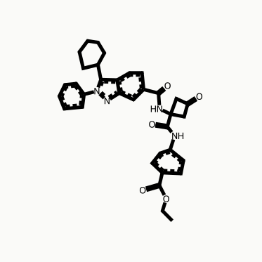 CCOC(=O)c1ccc(NC(=O)C2(NC(=O)c3ccc4c(C5CCCCC5)n(-c5ccccc5)nc4c3)CC(=O)C2)cc1